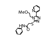 COCCn1c(SCC(=O)Nc2ccccc2)nnc1-c1ccccn1